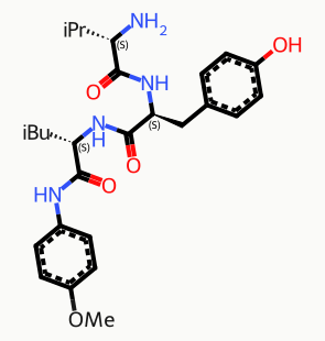 CCC(C)[C@H](NC(=O)[C@H](Cc1ccc(O)cc1)NC(=O)[C@@H](N)C(C)C)C(=O)Nc1ccc(OC)cc1